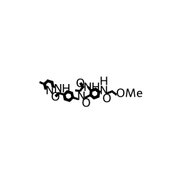 COCCC(=O)Nc1ccc2c(c1)NC(=O)C(C)N(Cc1ccc(C(=O)Nc3ccc(C)cn3)cc1)C2=O